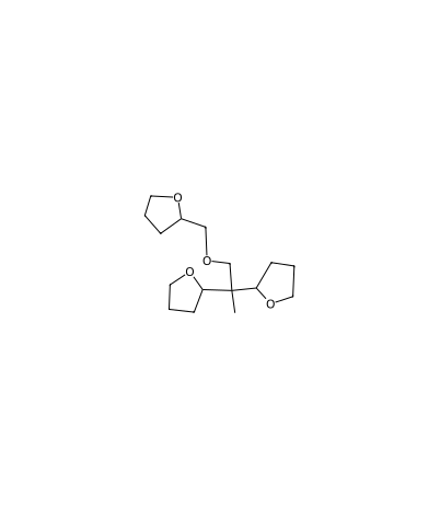 CC(COCC1CCCO1)(C1CCCO1)C1CCCO1